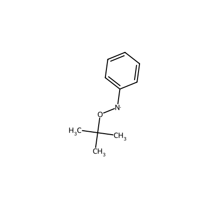 CC(C)(C)O[N]c1ccccc1